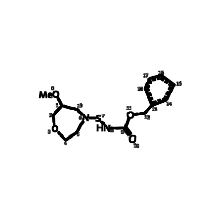 COC1COCCN(SNC(=O)OCc2ccccc2)C1